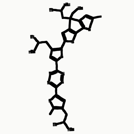 CCCCC(CC)Cc1cc(-c2nnc(-c3cc(CC(CC)CCCC)c(-c4cc5c(s4)-c4sc(C)cc4C5(CC(C)CC)CC(CC)CCCC)s3)nn2)sc1C